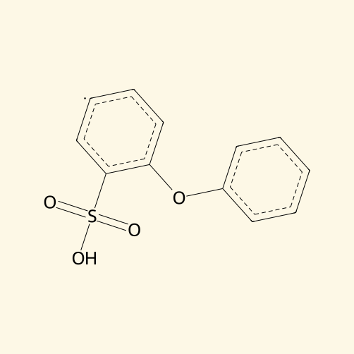 O=S(=O)(O)c1c[c]ccc1Oc1ccccc1